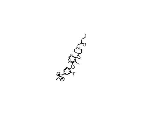 CCCC(=O)CN1CCC(Oc2ncnc(Oc3ccc(S(C)(=O)=O)cc3F)c2C)CC1